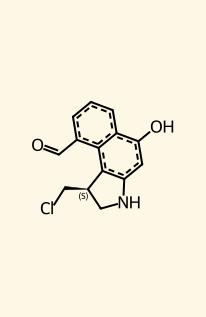 O=Cc1cccc2c(O)cc3c(c12)[C@H](CCl)CN3